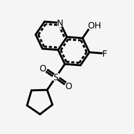 O=S(=O)(c1cc(F)c(O)c2ncccc12)C1CCCC1